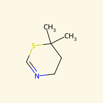 CC1(C)CCN=CS1